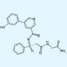 NC(=O)CNC(=O)C[S@@](=O)(=NC(=O)c1cncc(-c2cccc(O)c2)c1)c1ccccc1